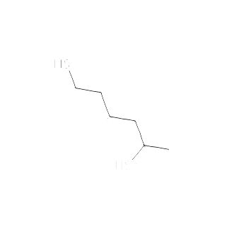 [CH2]C(S)CCCCS